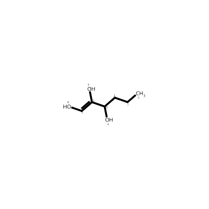 CCCC(O)C(O)=CO